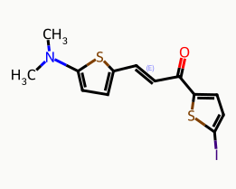 CN(C)c1ccc(/C=C/C(=O)c2ccc(I)s2)s1